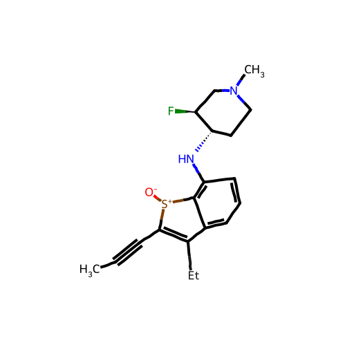 CC#Cc1c(CC)c2cccc(N[C@H]3CCN(C)C[C@@H]3F)c2[s+]1[O-]